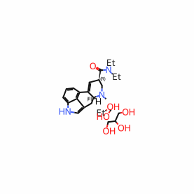 CCN(CC)C(=O)[C@@H]1C=C2c3cccc4[nH]cc(c34)C[C@H]2N(C)C1.CCO.CO.OCC(O)CO